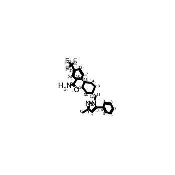 Cc1cc(-c2ccccc2)n(C[C@H]2CC[C@H](c3ccc(C(F)(F)F)cc3C(N)=O)CC2)n1